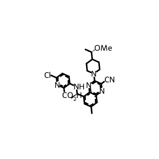 CO[C@@H](C)C1CCN(c2nc3c([C@@H](C)Nc4ccc(Cl)nc4C(=O)O)cc(C)cc3nc2C#N)CC1